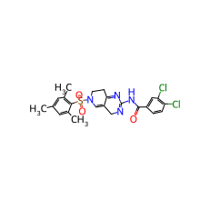 Cc1cc(C)c(S(=O)(=O)N2C=C3CN=C(NC(=O)c4ccc(Cl)c(Cl)c4)N=C3CC2)c(C)c1